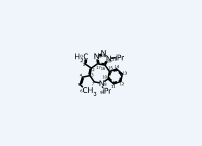 C=C/C1=C(\C=C/C)CN(C(C)C)c2ccccc2-c2c1nnn2C(C)C